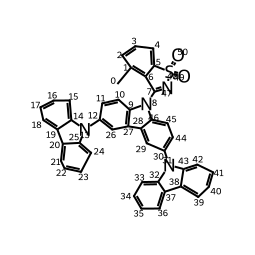 Cc1cccc2c1C(n1c3ccc(-n4c5ccccc5c5ccccc54)cc3c3cc(-n4c5ccccc5c5ccccc54)ccc31)=NS2(=O)=O